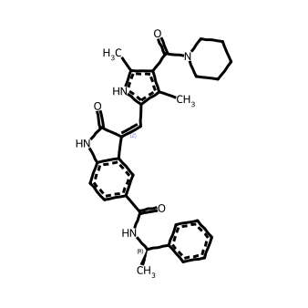 Cc1[nH]c(/C=C2\C(=O)Nc3ccc(C(=O)N[C@H](C)c4ccccc4)cc32)c(C)c1C(=O)N1CCCCC1